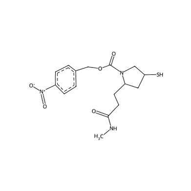 CNC(=O)CCC1CC(S)CN1C(=O)OCc1ccc([N+](=O)[O-])cc1